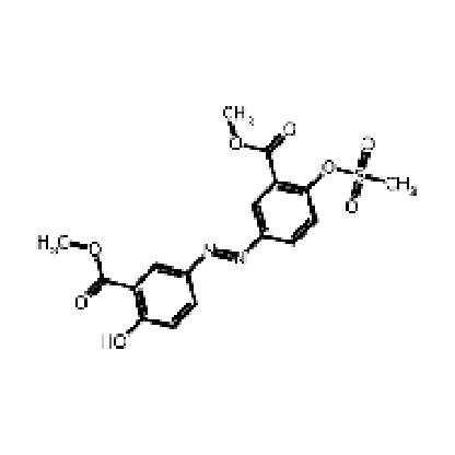 COC(=O)c1cc(N=Nc2ccc(OS(C)(=O)=O)c(C(=O)OC)c2)ccc1O